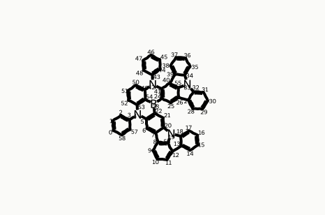 c1ccc(N2c3cc4c5cccc6c7ccccc7n(c4cc3B3c4cc7c8ccccc8n8c9ccccc9c(c4N(c4ccccc4)c4cccc2c43)c78)c65)cc1